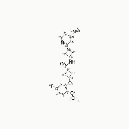 COc1ccc(F)cc1OC1CC(C(=O)NC2CN(c3cc(C#N)ccn3)C2)C1